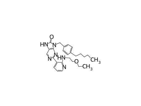 CCCCCc1ccc(Cn2c(=O)[nH]c3cnc(-c4cccnc4NCCOCC)nc32)cc1